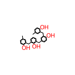 Cc1ccc(O)c(Cc2cc(Cc3cccc(Cc4cc(C)ccc4O)c3O)ccc2O)c1